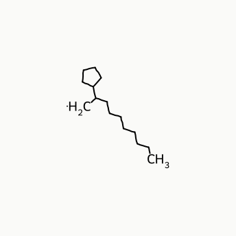 [CH2]C(CCCCCCCC)C1CCCC1